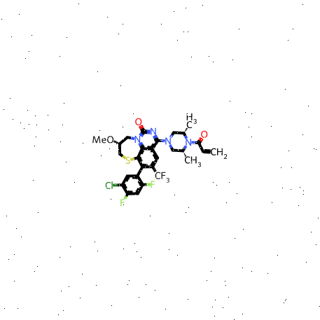 C=CC(=O)N1[C@H](C)CN(c2nc(=O)n3c4c(c(-c5cc(Cl)c(F)cc5F)c(C(F)(F)F)cc24)SC[C@@H](OC)C3)C[C@@H]1C